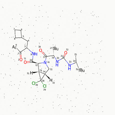 CC(=O)C(=O)C(CC1CCC1)NC(=O)[C@@H]1[C@@H]2[C@H](CN1C(=O)[C@@H](NC(=O)NC(C)C(C)(C)C)C(C)(C)C)C2(Cl)Cl